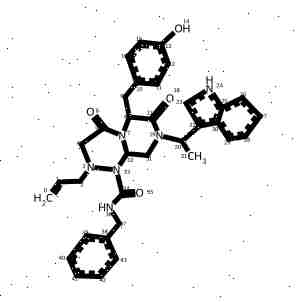 C=CCN1CC(=O)N2C(Cc3ccc(O)cc3)C(=O)N(C(C)c3c[nH]c4ccccc34)CC2N1C(=O)NCc1ccccc1